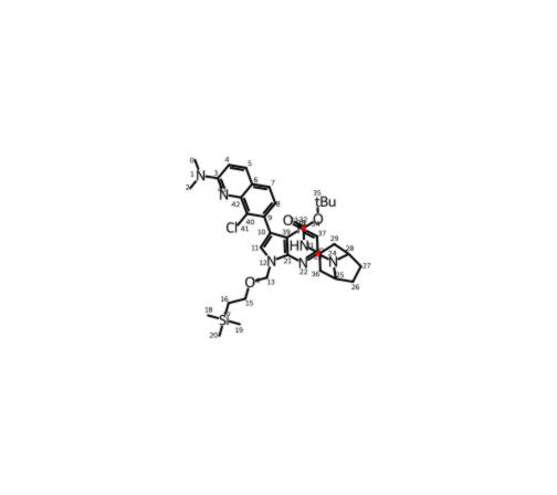 CN(C)c1ccc2ccc(-c3cn(COCC[Si](C)(C)C)c4nc(N5C6CCC5CC(NC(=O)OC(C)(C)C)C6)cnc34)c(Cl)c2n1